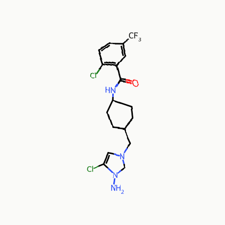 NN1CN(CC2CCC(NC(=O)c3cc(C(F)(F)F)ccc3Cl)CC2)C=C1Cl